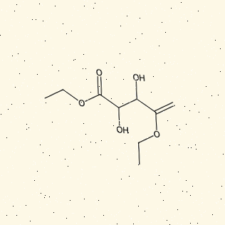 C=C(OCC)C(O)C(O)C(=O)OCC